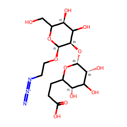 [N-]=[N+]=NCCO[C@H]1OC(CO)[C@@H](O)C(O)[C@H]1O[C@H]1OC(CCC(=O)O)[C@@H](O)C(O)[C@H]1O